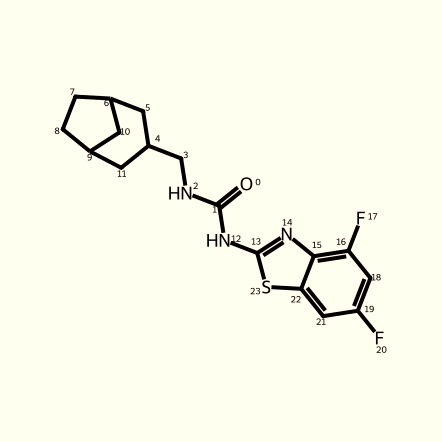 O=C(NCC1CC2CCC(C2)C1)Nc1nc2c(F)cc(F)cc2s1